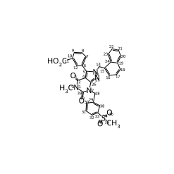 Cn1c(=O)c2c(-c3cccc(C(=O)O)c3)n(Cc3cccc4ccccc34)nc2n(Cc2cccc(S(C)(=O)=O)c2)c1=O